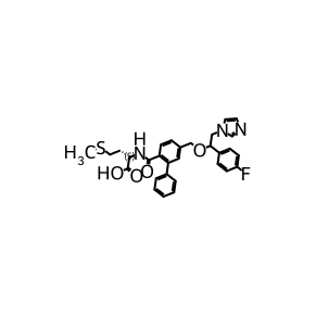 CSCC[C@H](NC(=O)c1ccc(COC(Cn2ccnc2)c2ccc(F)cc2)cc1-c1ccccc1)C(=O)O